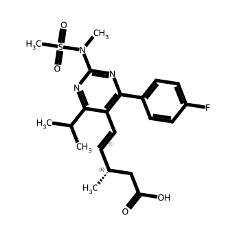 CC(C)c1nc(N(C)S(C)(=O)=O)nc(-c2ccc(F)cc2)c1/C=C/[C@@H](C)CC(=O)O